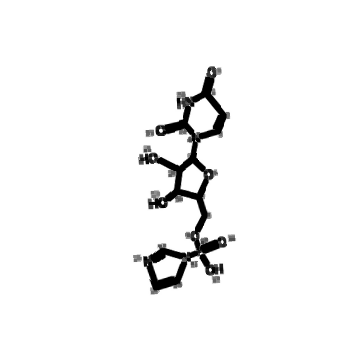 O=c1ccn(C2OC(COP(=O)(O)n3ccnc3)C(O)C2O)c(=O)[nH]1